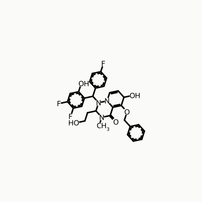 CN1C(=O)C2=C(OCc3ccccc3)C(O)C=CN2N(C(c2ccc(F)cc2)c2cc(F)c(F)cc2O)C1CCO